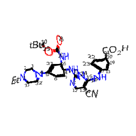 CCN1CCN(c2ccc(Nc3ncc(C#N)c(Nc4ccc(C(=O)O)cc4)n3)c(NC(=O)OC(C)(C)C)c2)CC1